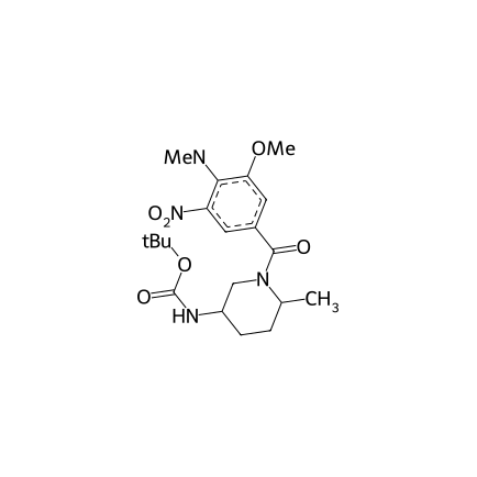 CNc1c(OC)cc(C(=O)N2CC(NC(=O)OC(C)(C)C)CCC2C)cc1[N+](=O)[O-]